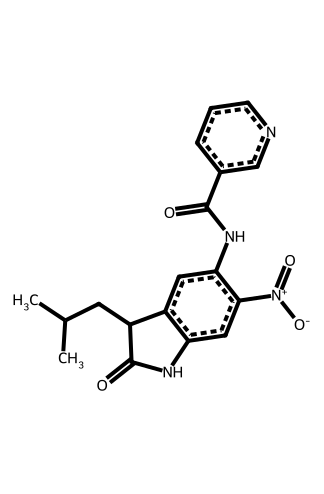 CC(C)CC1C(=O)Nc2cc([N+](=O)[O-])c(NC(=O)c3cccnc3)cc21